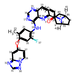 C=CC(=O)N1[C@@H]2CC[C@H]1C[C@@H](c1ccc3ncnc(Nc4cc(C)c(Oc5ccn6ncnc6c5)cc4F)c3n1)C2